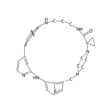 O=C1NCCCNc2ncc(cn2)-c2ccnc(c2)Nc2cccc(c2F)CN2CCN(CC2)C12CC2